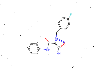 [NH-]c1on[n+](Cc2ccc(F)cc2)c1C(=O)Nc1ccccc1